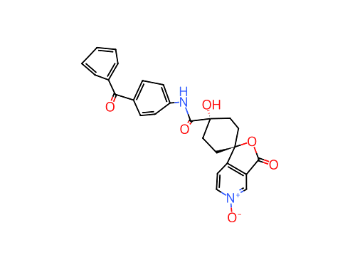 O=C(c1ccccc1)c1ccc(NC(=O)[C@]2(O)CC[C@@]3(CC2)OC(=O)c2c[n+]([O-])ccc23)cc1